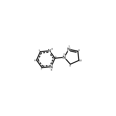 C1=NN(c2ncccn2)CC1